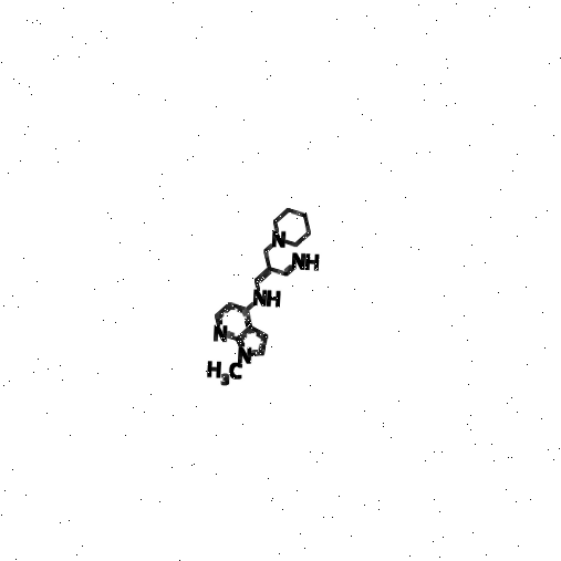 Cn1ccc2c(N/C=C(\C=N)CN3CCCCC3)ccnc21